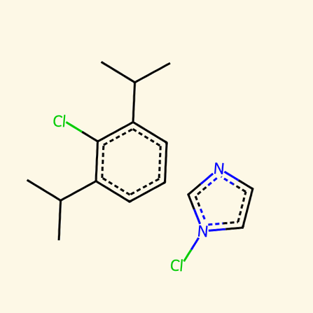 CC(C)c1cccc(C(C)C)c1Cl.Cln1ccnc1